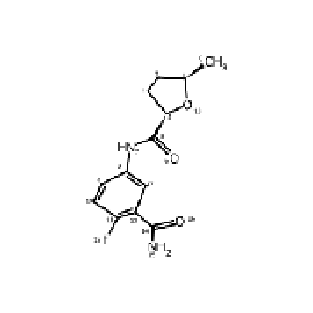 C[C@@H]1CC[C@H](C(=O)Nc2ccc(F)c(C(N)=O)c2)O1